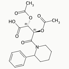 CC(=O)O[C@@H](C(=O)O)[C@@H](OC(C)=O)C(=O)N1CCCCC1c1ccccc1